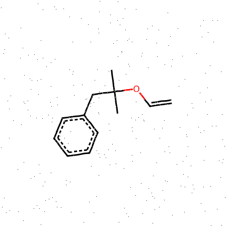 C=COC(C)(C)Cc1ccccc1